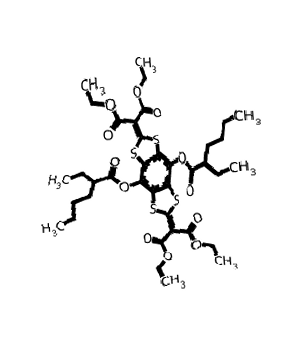 CCCCC(CC)C(=O)Oc1c2c(c(OC(=O)C(CC)CCCC)c3c1SC(=C(C(=O)OCC)C(=O)OCC)S3)SC(=C(C(=O)OCC)C(=O)OCC)S2